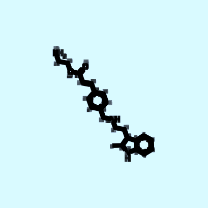 CC1Nc2ccccc2C1CCNCc1ccc(/C=C/C(=O)OCCN)cc1